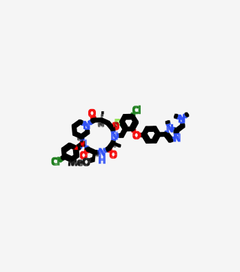 COC[C@@H]1NC(=O)[C@H](C)N(Cc2c(F)cc(Cl)cc2Oc2ccc(-c3cnc(CN(C)C)n3C)cc2)C(=O)C[C@@H](C)C(=O)N2CCC[C@@](Cc3ccc(Cl)cc3)(C2)N(C)C1=O